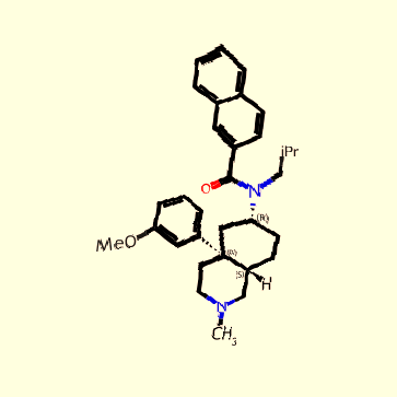 COc1cccc([C@@]23CCN(C)C[C@H]2CC[C@@H](N(CC(C)C)C(=O)c2ccc4ccccc4c2)C3)c1